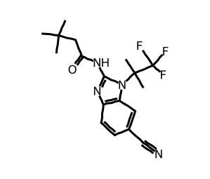 CC(C)(C)CC(=O)Nc1nc2ccc(C#N)cc2n1C(C)(C)C(F)(F)F